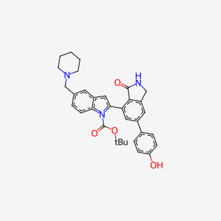 CC(C)(C)OC(=O)n1c(-c2cc(-c3ccc(O)cc3)cc3c2C(=O)NC3)cc2cc(CN3CCCCC3)ccc21